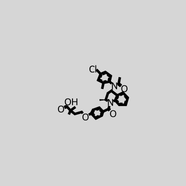 CC(=O)N(c1ccc(Cl)cc1C)[C@@H]1C[C@H](C)N(C(=O)c2ccc(OCCC(C)(C)C(=O)O)cc2)c2ccccc21